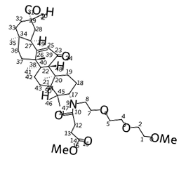 COCCOCCOCCN(C(=O)CCC(=O)OC)[C@H]1CC[C@]2(C)[C@H]3C(=O)C=C4[C@@H]5C[C@@](C)(C(=O)O)CC[C@]5(C)CC[C@@]4(C)[C@]3(C)CC[C@H]2C1(C)C